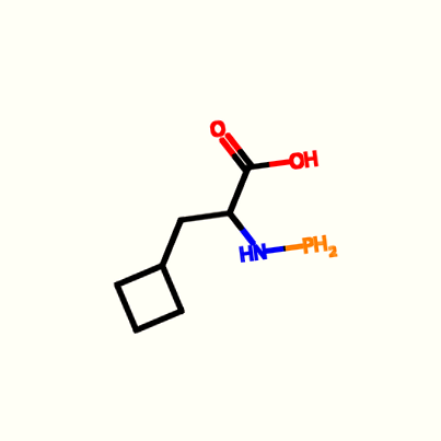 O=C(O)C(CC1CCC1)NP